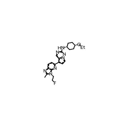 CCO[C@H]1CC[C@@H](Nc2ncc3c(-c4ccc5nc(C)n(CCF)c5n4)ccn3n2)CC1